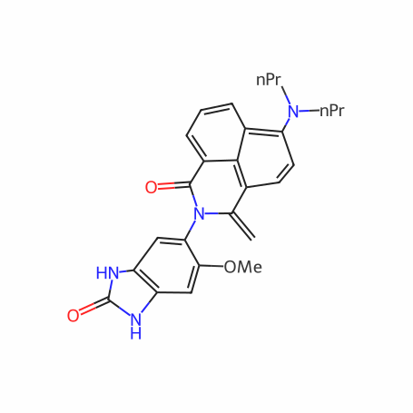 C=c1c2ccc(N(CCC)CCC)c3cccc(c(=O)n1-c1cc4[nH]c(=O)[nH]c4cc1OC)c32